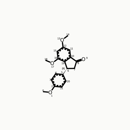 COc1ccc([C@H]2CC(=O)c3cc(OC)cc(OC)c32)cc1